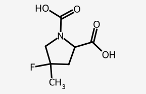 CC1(F)CC(C(=O)O)N(C(=O)O)C1